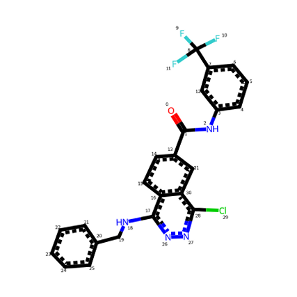 O=C(Nc1cccc(C(F)(F)F)c1)c1ccc2c(NCc3ccccc3)nnc(Cl)c2c1